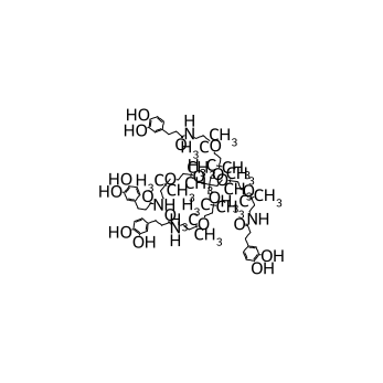 CC(C)(CCNC(=O)CCc1ccc(O)c(O)c1)OCCC(C)(C)OCC(COC(C)(C)CCOC(C)(C)CCNC(=O)CCc1ccc(O)c(O)c1)(COC(C)(C)CCOC(C)(C)CCNC(=O)CCc1ccc(O)c(O)c1)COC(C)(C)CCOC(C)(C)CCNC(=O)CCc1ccc(O)c(O)c1